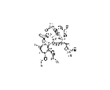 CCOc1cc(C)cc([C@@H]2O[C@H](COC(C)=O)[C@@H](OC(C)=O)[C@H](OC(C)=O)[C@H]2OC(C)=O)c1OCC